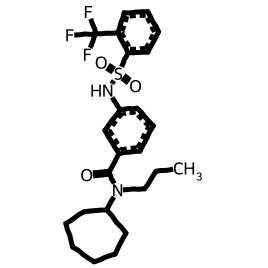 CCCN(C(=O)c1cccc(NS(=O)(=O)c2ccccc2C(F)(F)F)c1)C1CCCCCC1